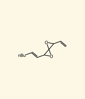 C=CC1OC12OC2C=CCCCC